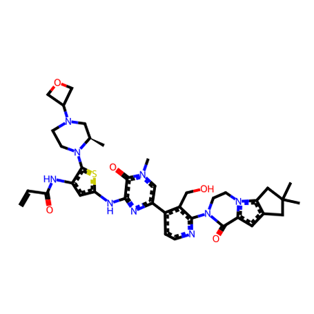 C=CC(=O)Nc1cc(Nc2nc(-c3ccnc(N4CCn5c(cc6c5CC(C)(C)C6)C4=O)c3CO)cn(C)c2=O)sc1N1CCN(C2COC2)C[C@H]1C